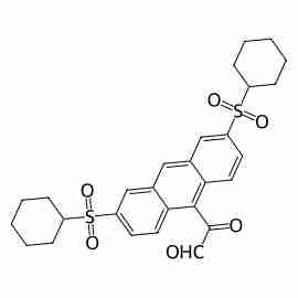 O=CC(=O)c1c2ccc(S(=O)(=O)C3CCCCC3)cc2cc2cc(S(=O)(=O)C3CCCCC3)ccc12